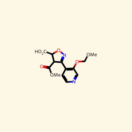 COCOc1cnccc1C1=NOC(C(=O)O)C1C(=O)OC